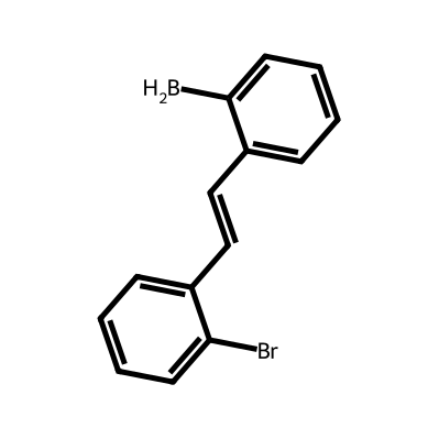 Bc1ccccc1/C=C/c1ccccc1Br